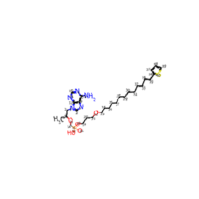 C[C@H](Cn1cnc2c(N)ncnc21)OCP(=O)(O)OCCCOCCCCCCCCCCCCCc1cccs1